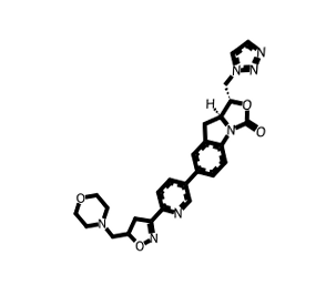 O=C1O[C@@H](Cn2ccnn2)[C@@H]2Cc3cc(-c4ccc(C5=NOC(CN6CCOCC6)C5)nc4)ccc3N12